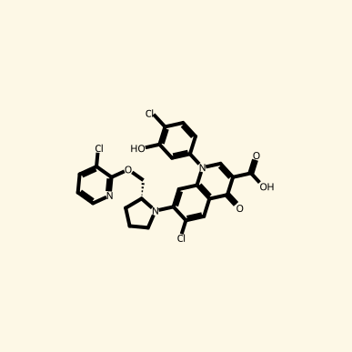 O=C(O)c1cn(-c2ccc(Cl)c(O)c2)c2cc(N3CCC[C@@H]3COc3ncccc3Cl)c(Cl)cc2c1=O